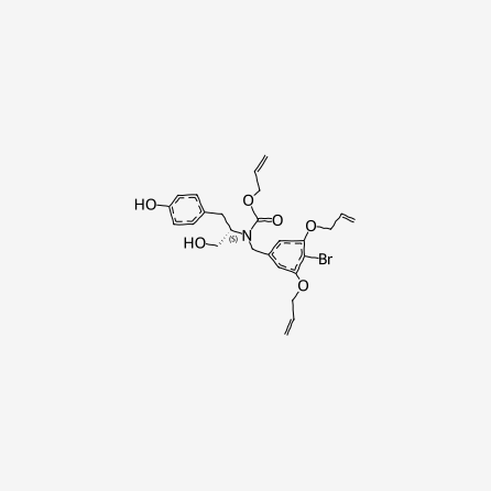 C=CCOC(=O)N(Cc1cc(OCC=C)c(Br)c(OCC=C)c1)[C@H](CO)Cc1ccc(O)cc1